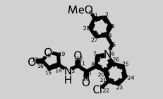 COc1ccc(Cn2cc(C(=O)C(=O)NC3=CC(=O)OC3)c3c(Cl)cccc32)cc1